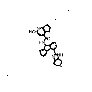 O=C(NC1c2ccccc2-c2c(-c3nc4ccncc4[nH]3)cccc21)c1cc(O)nc2ccccc12